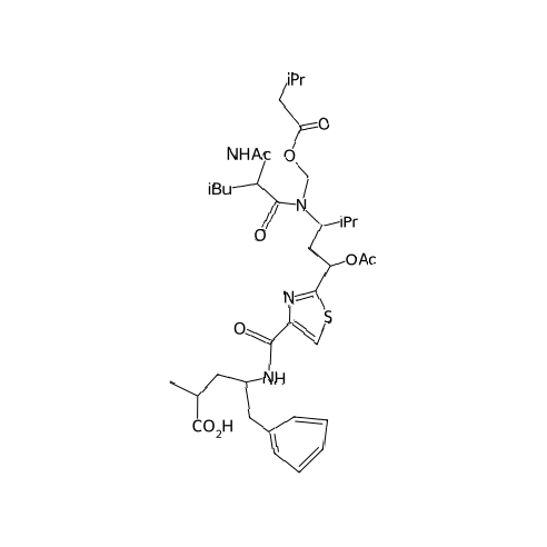 CCC(C)C(NC(C)=O)C(=O)N(COC(=O)CC(C)C)C(CC(OC(C)=O)c1nc(C(=O)NC(Cc2ccccc2)CC(C)C(=O)O)cs1)C(C)C